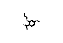 CCCOc1cc(OC)ccc1C(=O)Cl